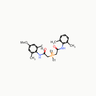 CC[PH](CC)(CC(=O)Nc1c(C)cccc1C)CC(=O)Nc1c(C)cc(OC)cc1C